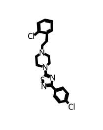 Clc1ccc(-c2nsc(N3CCN(CCc4ccccc4Cl)CC3)n2)cc1